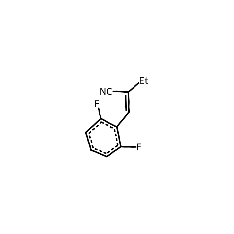 CC/C(C#N)=C/c1c(F)cccc1F